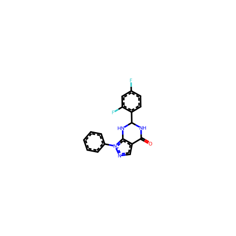 O=C1NC(c2ccc(F)cc2F)Nc2c1cnn2-c1ccccc1